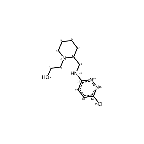 OCCN1CCCCC1CNc1ccc(Cl)nn1